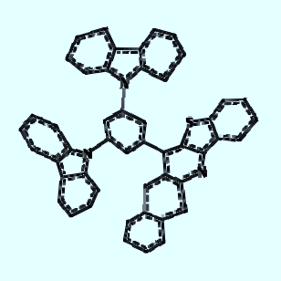 c1ccc2cc3c(-c4cc(-n5c6ccccc6c6ccccc65)cc(-n5c6ccccc6c6ccccc65)c4)c4sc5ccccc5c4nc3cc2c1